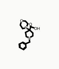 O=C(O)C1(N2CCOCC2)CCN(Cc2ccccc2)CC1